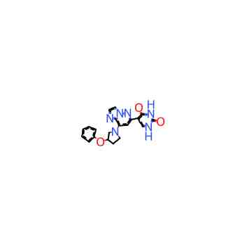 O=c1[nH]cc(-c2cc(N3CCC(Oc4ccccc4)C3)c3nccn3n2)c(=O)[nH]1